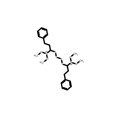 CO[SiH](OC)C(CCc1ccccc1)SSSSC(CCc1ccccc1)[SiH](OC)OC